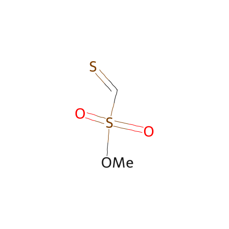 COS(=O)(=O)C=S